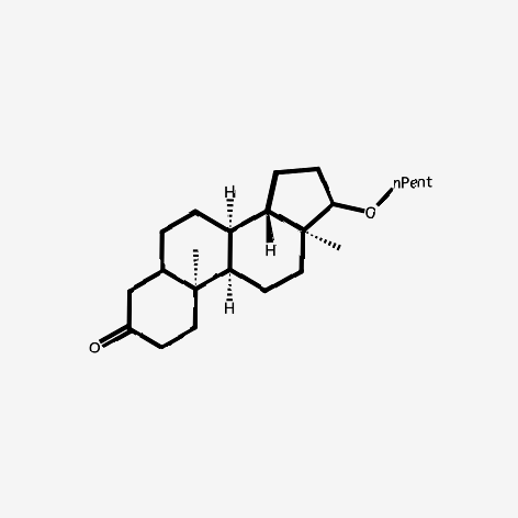 CCCCCOC1CC[C@H]2[C@@H]3CCC4CC(=O)CC[C@]4(C)[C@@H]3CC[C@]12C